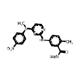 CNC(=O)c1cc(Nc2nccc(N(C)c3ccc([N+](=O)[O-])cc3)n2)ccc1C